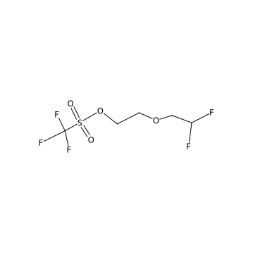 O=S(=O)(OCCOCC(F)F)C(F)(F)F